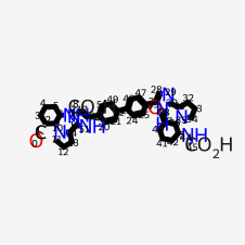 O=C=C1CCCC(NC(=O)O)C1N1CCCC1c1ncc(-c2ccc(-c3ccc(-c4cnc(C5CCCN5[C@H]5C(=C=O)CCC[C@H]5NC(=O)O)[nH]4)cc3)cc2)[nH]1